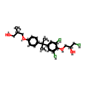 C[C@H](CO)COc1ccc(C(C)(C)c2cc(Cl)c(OC[C@H](O)CCl)c(Cl)c2)cc1